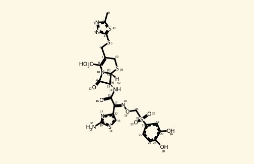 Cc1nnc(SCC2=C(C(=O)O)N3C(=O)[C@@H](NC(=O)C(=NOCS(=O)(=O)c4ccc(O)c(O)c4)c4csc(N)n4)[C@H]3SC2)s1